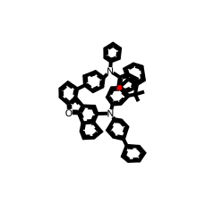 CC1(C)c2ccccc2-c2ccc(N(c3ccc(-c4ccccc4)cc3)c3cc4c(oc5cccc(-c6ccc(N(c7ccccc7)c7ccccc7)cc6)c54)c4ccccc34)cc21